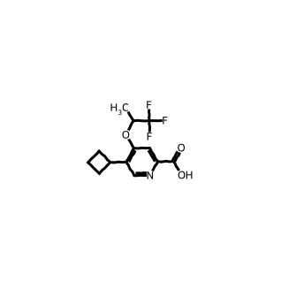 CC(Oc1cc(C(=O)O)ncc1C1CCC1)C(F)(F)F